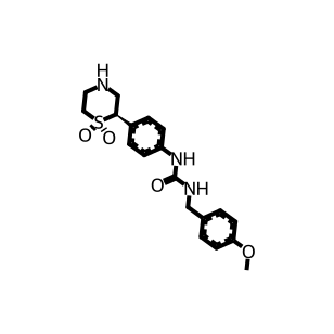 COc1ccc(CNC(=O)Nc2ccc([C@@H]3CNCCS3(=O)=O)cc2)cc1